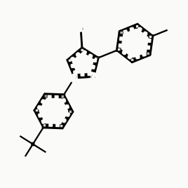 CCCc1cn(-c2ccc(C(C)(C)O)cc2)nc1-c1ccc(C)cc1